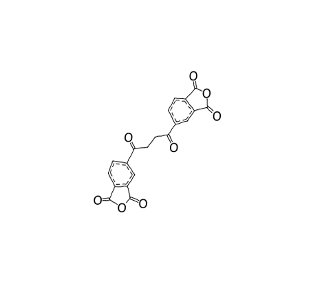 O=C(CCC(=O)c1ccc2c(c1)C(=O)OC2=O)c1ccc2c(c1)C(=O)OC2=O